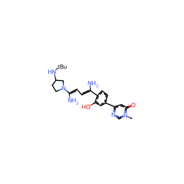 Cn1cnc(-c2ccc(/C(N)=C/C=C(\N)N3CCC(NC(C)(C)C)C3)c(O)c2)cc1=O